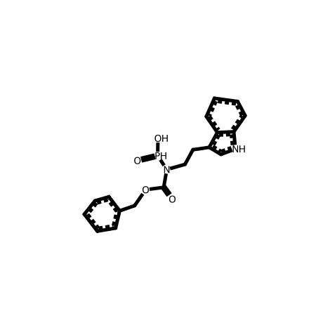 O=C(OCc1ccccc1)N(CCc1c[nH]c2ccccc12)[PH](=O)O